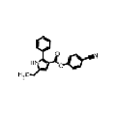 CCc1cc(C(=O)Oc2ccc(C#N)cc2)c(-c2ccccc2)[nH]1